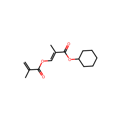 C=C(C)C(=O)OC=C(C)C(=O)OC1CCCCC1